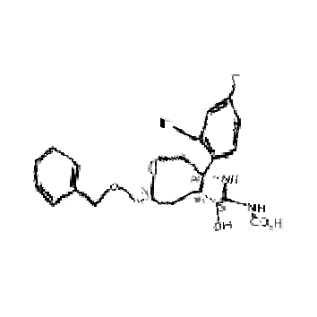 O=C(O)NC(=S)N[C@@]1(c2ccc(F)cc2F)CO[C@@H](COCc2ccccc2)C[C@H]1CO